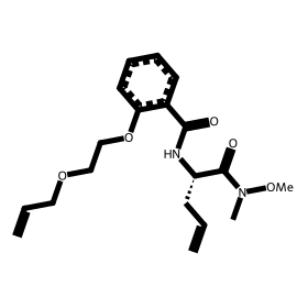 C=CCOCCOc1ccccc1C(=O)N[C@@H](CC=C)C(=O)N(C)OC